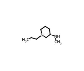 CCCN1CCC[C@@H](NC)C1